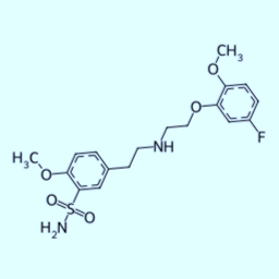 COc1ccc(F)cc1OCCNCCc1ccc(OC)c(S(N)(=O)=O)c1